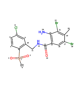 CCS(=O)(=O)c1ccc(Cl)cc1CNC(=O)c1cc(Br)c(C)c(Br)c1N